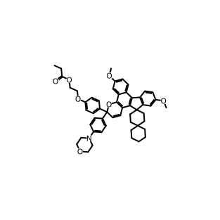 CCC(=O)OCCOc1ccc(C2(c3ccc(N4CCOCC4)cc3)C=Cc3c4c(c5ccc(OC)cc5c3O2)-c2ccc(OC)cc2C42CCC3(CCCCC3)CC2)cc1